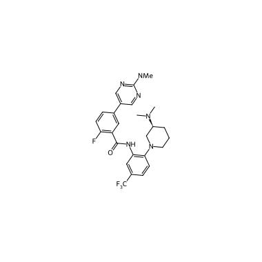 CNc1ncc(-c2ccc(F)c(C(=O)Nc3cc(C(F)(F)F)ccc3N3CCC[C@H](N(C)C)C3)c2)cn1